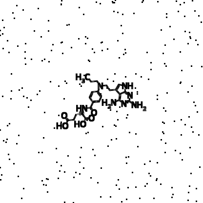 CCCN(CCc1c[nH]c2nc(N)nc(N)c12)c1ccc(C(=O)N[C@@H](CCC(=O)O)C(=O)O)cc1